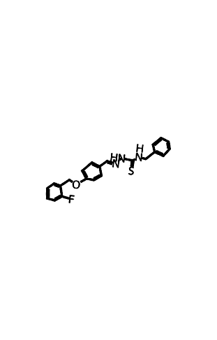 Fc1ccccc1COc1ccc(C=NNC(=S)NCc2ccccc2)cc1